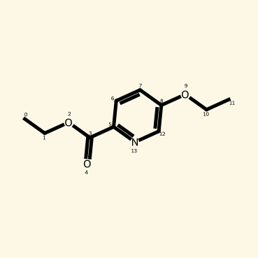 CCOC(=O)c1ccc(OCC)cn1